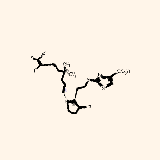 C[C@](O)(C/C=C/[C@H]1CCC(=O)[C@@H]1CCSc1nc(C(=O)O)cs1)CCC(F)=C(F)F